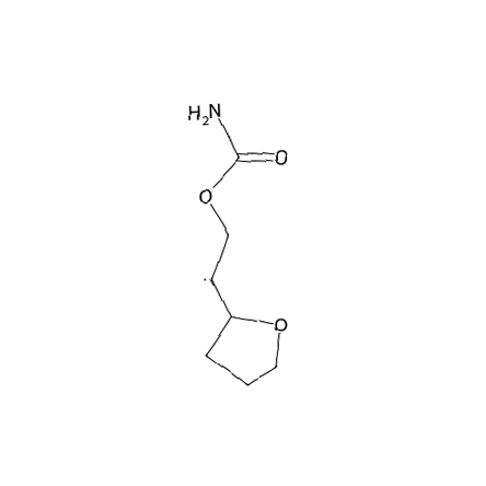 NC(=O)OC[CH]C1CCCO1